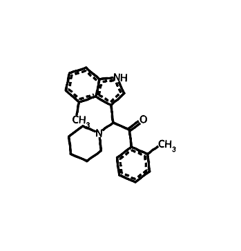 Cc1ccccc1C(=O)C(c1c[nH]c2cccc(C)c12)N1CCCCC1